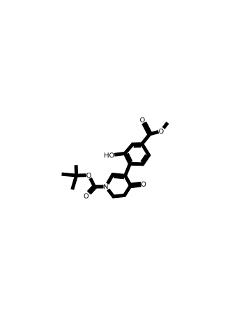 COC(=O)c1ccc(C2=CN(C(=O)OC(C)(C)C)CCC2=O)c(O)c1